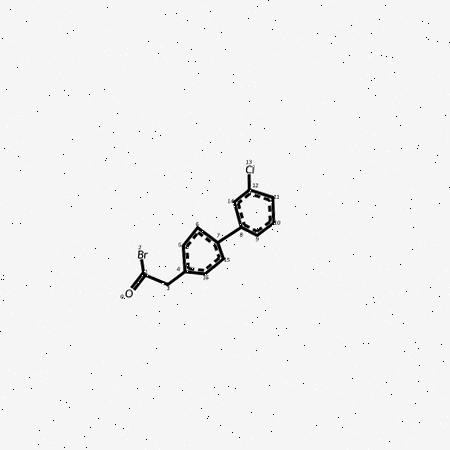 O=C(Br)Cc1ccc(-c2cccc(Cl)c2)cc1